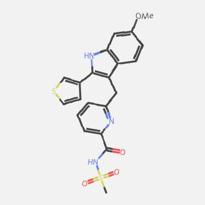 COc1ccc2c(Cc3cccc(C(=O)NS(C)(=O)=O)n3)c(-c3ccsc3)[nH]c2c1